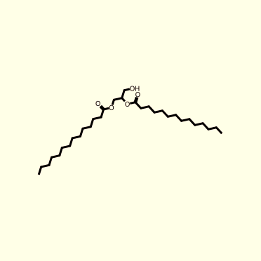 CCCCCCCCCCCCCC(=O)OCC(CO)OC(=O)CCCCCCCCCCCCC